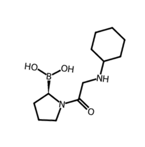 O=C(CNC1CCCCC1)N1CCC[C@H]1B(O)O